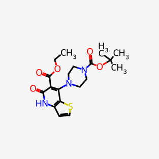 CCOC(=O)c1c(N2CCN(C(=O)OC(C)(C)C)CC2)c2sccc2[nH]c1=O